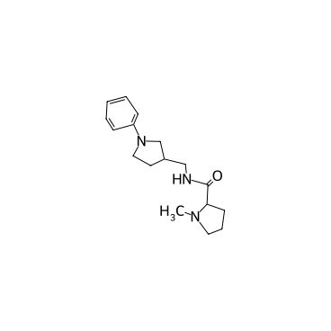 CN1CCCC1C(=O)NCC1CCN(c2ccccc2)C1